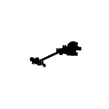 CCCC(NC(=O)OC(C)(C)C)C(NC(=O)OC(C)(C)C)(C(CCCCCCNC(=O)CCCCCCCCCCCCCCCCCCCCCC(C)NC(=O)OCc1ccccc1)CN(C(=O)OC(C)(C)C)C(CCC)(NC(=O)OC(C)(C)C)C(C)(CC)NC(=O)OC(C)(C)C)C(C)(CC)NC(=O)OC(C)(C)C